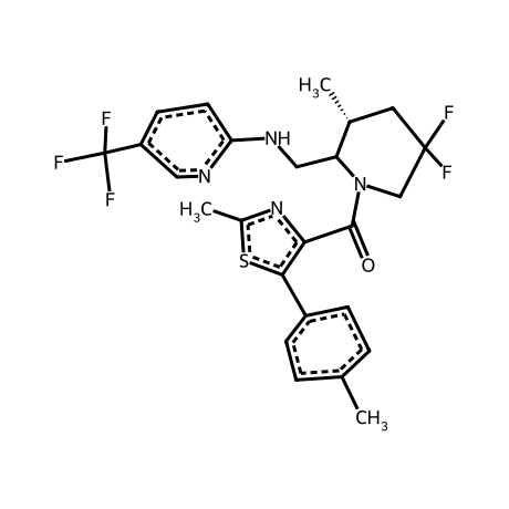 Cc1ccc(-c2sc(C)nc2C(=O)N2CC(F)(F)C[C@@H](C)C2CNc2ccc(C(F)(F)F)cn2)cc1